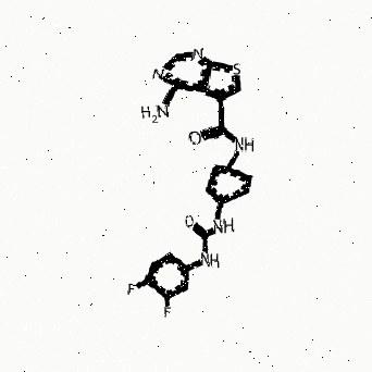 Nc1ncnc2scc(C(=O)Nc3ccc(NC(=O)Nc4ccc(F)c(F)c4)cc3)c12